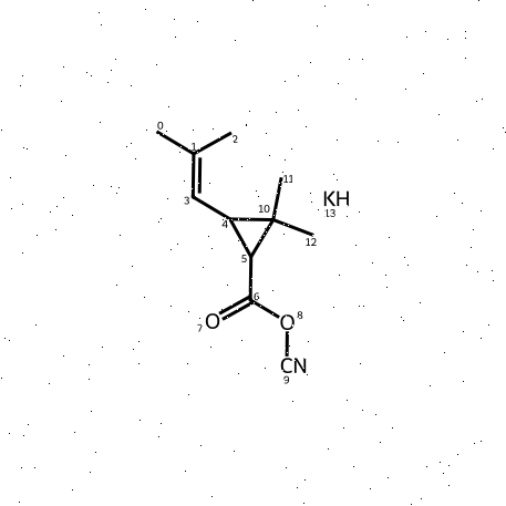 CC(C)=CC1C(C(=O)OC#N)C1(C)C.[KH]